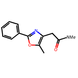 CNC(=O)Cc1nc(-c2ccccc2)oc1C